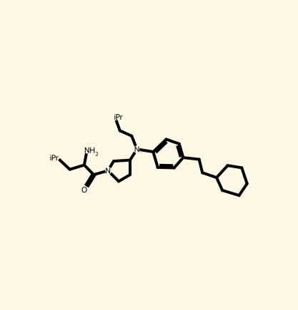 CC(C)CCN(c1ccc(CCC2CCCCC2)cc1)C1CCN(C(=O)C(N)CC(C)C)C1